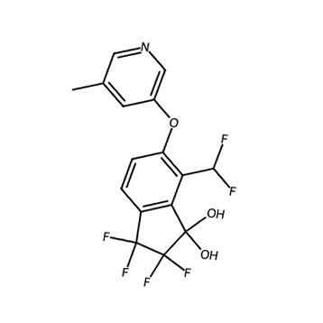 Cc1cncc(Oc2ccc3c(c2C(F)F)C(O)(O)C(F)(F)C3(F)F)c1